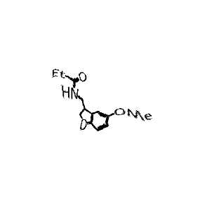 CCC(=O)NCC1COc2ccc(OC)cc21